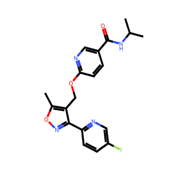 Cc1onc(-c2ccc(F)cn2)c1COc1ccc(C(=O)NC(C)C)cn1